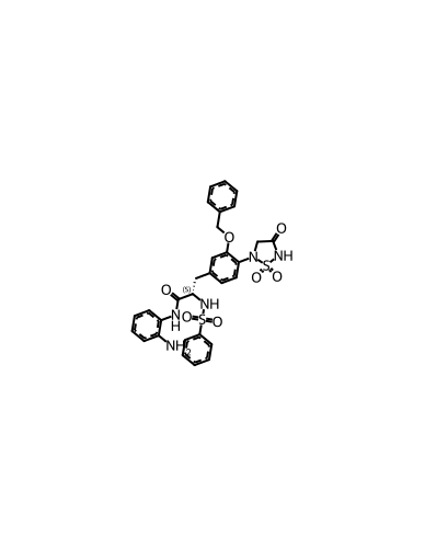 Nc1ccccc1NC(=O)[C@H](Cc1ccc(N2CC(=O)NS2(=O)=O)c(OCc2ccccc2)c1)NS(=O)(=O)c1ccccc1